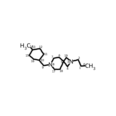 CCCN1CC2(CCN(CC3CCC(C)CC3)CC2)C1